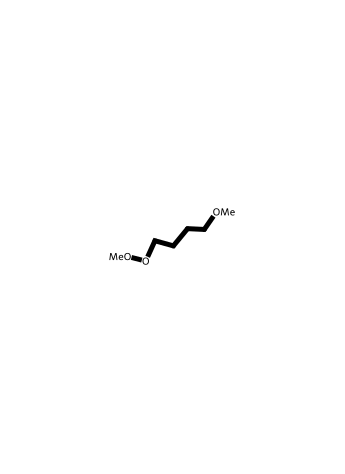 COCCCCOOC